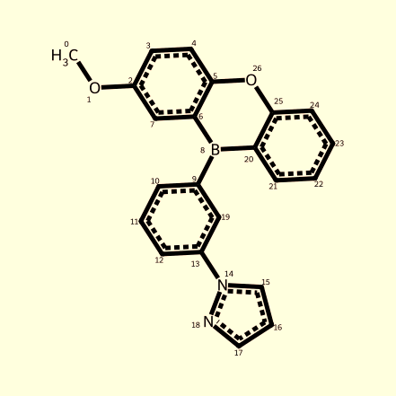 COc1ccc2c(c1)B(c1cccc(-n3cccn3)c1)c1ccccc1O2